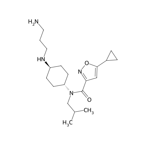 CC(C)CN(C(=O)c1cc(C2CC2)on1)[C@H]1CC[C@H](NCCCN)CC1